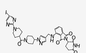 O=C1CCC(N2C(=O)c3cccc(NCc4cnn(C5CCN(C(=O)C6CCN(c7ncc(I)cn7)CC6)CC5)c4)c3C2=O)C(=O)N1